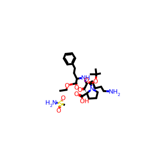 CCOC(=O)C(CCc1ccccc1)N[C@@H](CCCCN)C(=O)[C@@]1(C(=O)O)CCCN1C(=O)OC(C)(C)C.CS(N)(=O)=O